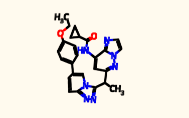 CCOc1ccc(-c2ccc3nnc(C(C)c4cc(NC(=O)C5CC5)c5nccn5n4)n3c2)cc1